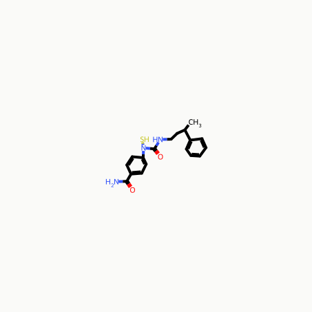 CC(CCNC(=O)N(S)c1ccc(C(N)=O)cc1)c1ccccc1